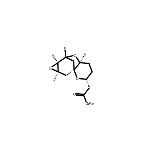 COC(=O)C[C@H]1CC[C@@H]2O[C@@H]3C[C@]2(C[C@H]2O[C@H]23)O1